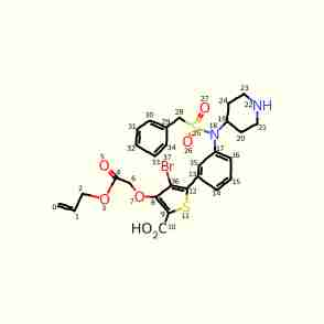 C=CCOC(=O)COc1c(C(=O)O)sc(-c2cccc(N(C3CCNCC3)S(=O)(=O)Cc3ccccc3)c2)c1Br